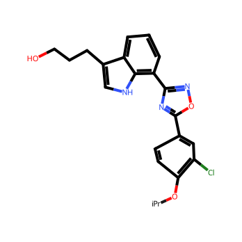 CC(C)Oc1ccc(-c2nc(-c3cccc4c(CCCO)c[nH]c34)no2)cc1Cl